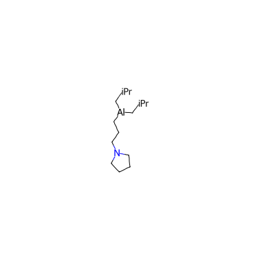 CC(C)[CH2][Al]([CH2]CCN1CCCC1)[CH2]C(C)C